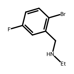 CCNCc1cc(F)ccc1Br